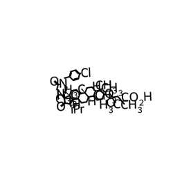 CC(C)C1=C2[C@H]3CC[C@@H]4[C@@]5(C)CCC(OC(=O)CC(C)(C)C(=O)O)C(C)(C)[C@@H]5CC[C@@]4(C)[C@]3(C)CC[C@@]2(C2CN(Cc3ccc(Cl)cc3)C(=O)CN2C)CC1=O